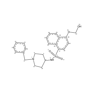 O=S(=O)(NC1CCN(Cc2ccccc2)CC1)c1ccc(OCO)c2ccccc12